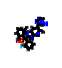 CCn1c(C(O)(c2ccccc2F)c2ccccc2F)nc2nc(C)c(-c3nnn[nH]3)cc21